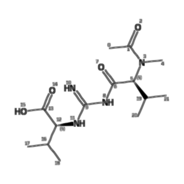 CC(=O)N(C)[C@H](C(=O)NC(=N)N[C@H](C(=O)O)C(C)C)C(C)C